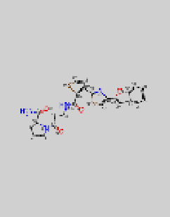 NC(=O)C1CCCN1C(=O)CCNC(=O)c1sccc1-c1nc(-c2cc3ccccc3o2)cs1